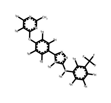 [2H]c1nc(C)nc(Oc2c([2H])c([2H])c(-c3nnc(N([2H])c4c([2H])c([2H])c([2H])c(C(F)(F)F)c4[2H])n3[2H])c([2H])c2[2H])c1[2H]